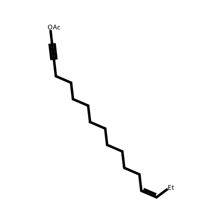 CC/C=C\CCCCCCCCCCC#COC(C)=O